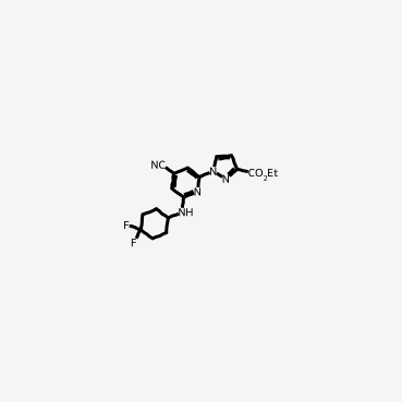 CCOC(=O)c1ccn(-c2cc(C#N)cc(NC3CCC(F)(F)CC3)n2)n1